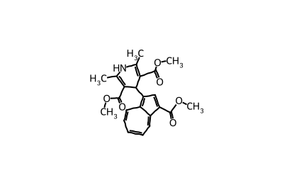 COC(=O)C1=C(C)NC(C)=C(C(=O)OC)C1c1cc(C(=O)OC)c2cccccc1-2